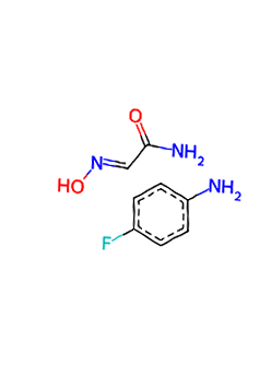 NC(=O)C=NO.Nc1ccc(F)cc1